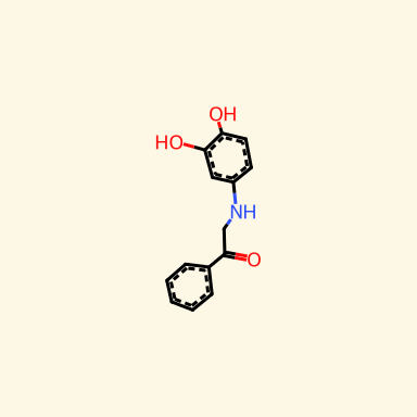 O=C(CNc1ccc(O)c(O)c1)c1ccccc1